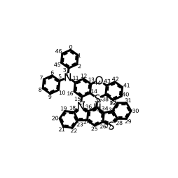 c1ccc(N(c2ccccc2)c2cc3c4c(c2)-n2c5ccccc5c5cc6sc7ccccc7c6c(c52)[SH]4c2ccccc2O3)cc1